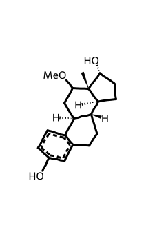 COC1C[C@@H]2c3ccc(O)cc3CC[C@H]2[C@@H]2CC[C@@H](O)[C@@]12C